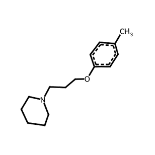 Cc1ccc(OCCCN2CCCCC2)cc1